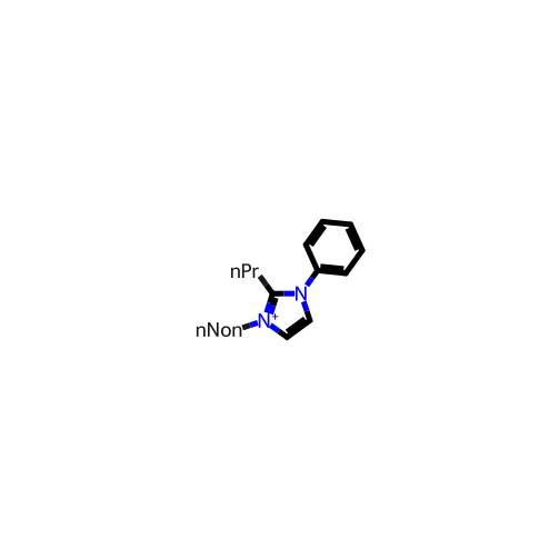 CCCCCCCCC[n+]1ccn(-c2ccccc2)c1CCC